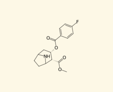 COC(=O)[C@@H]1C2CCC(C[C@@H]1OC(=O)c1ccc(F)cc1)N2